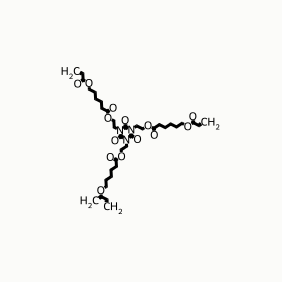 C=CC(=C)OCCCCCC(=O)OCCn1c(=O)n(CCOC(=O)CCCCCOC(=O)C=C)c(=O)n(CCOC(=O)CCCCCOC(=O)C=C)c1=O